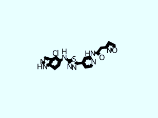 O=C(Cc1ccon1)Nc1cc(-c2nnc(Nc3ccc4[nH]ncc4c3Cl)s2)ccn1